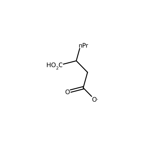 CCCC(CC([O])=O)C(=O)O